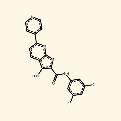 Nc1c(C(=O)Nc2cc(Cl)cc(Cl)c2)sc2nc(-c3ccncc3)ccc12